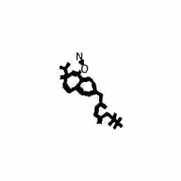 C=C(/C=C\C(=C)CC(C)(C)C(C)(C)C)CC1=CC=C2C(=CC1)C=CC(C)(C(C)C)C=C2OC#N